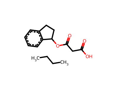 CCCC.O=C(O)CC(=O)OC1CCc2ccccc21